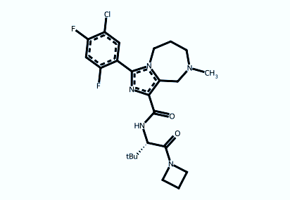 CN1CCCn2c(-c3cc(Cl)c(F)cc3F)nc(C(=O)N[C@H](C(=O)N3CCC3)C(C)(C)C)c2C1